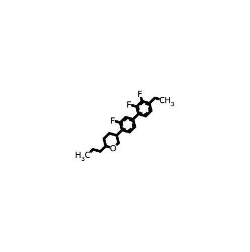 CCCC1CCC(c2ccc(-c3ccc(CC)c(F)c3F)cc2F)CO1